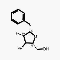 [2H]C1[C@@H](CO)O[C@@H](Cc2ccccc2)[C@H]1F